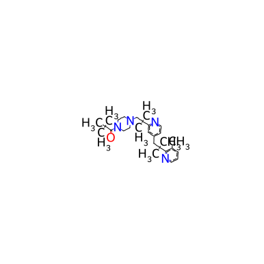 Cc1cccnc1C(C)(C)Cc1ccnc(C(C)(C)CN2CCN(C(=O)C(C)(C)C)CC2)c1